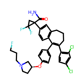 NC(=O)C1(c2ccc3c(c2)CCCC(c2ccc(Cl)cc2Cl)=C3c2ccc(O[C@H]3CCN(CCCF)C3)cc2)CC1(F)F